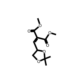 COC(=O)C(=CC1COC(C)(C)O1)C(=O)OC